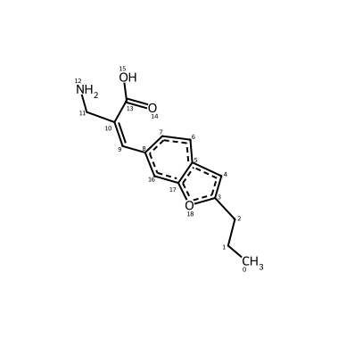 CCCc1cc2ccc(/C=C(/CN)C(=O)O)cc2o1